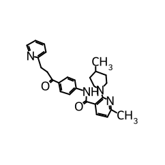 Cc1ccc(C(=O)Nc2ccc(C(=O)CCc3ccccn3)cc2)c(N2CCC(C)CC2)n1